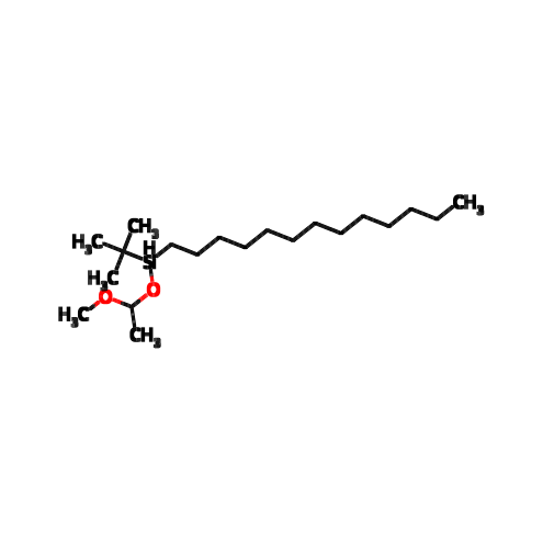 CCCCCCCCCCCCC[SiH](OC(C)OC)C(C)(C)C